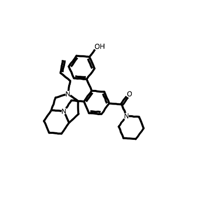 C=CCN1CCC2CCCC(C1)N2Cc1ccc(C(=O)N2CCCCC2)cc1-c1cccc(O)c1